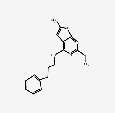 Cc1cc2c(NCCCc3ccccc3)nc(CC(F)(F)F)nc2s1